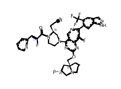 N#CC[C@H]1CN(c2nc(OC[C@@]34CCCN3C[C@H](F)C4)nc3c(F)c(-c4cc5[nH]ncc5cc4C(F)(F)F)ncc23)CCN1C(=O)/C(F)=C/c1ccccn1